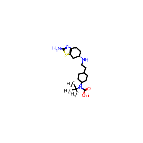 CC(C)(C)N(C(=O)O)C1CCC(CCN[C@H]2CCc3nc(N)sc3C2)CC1